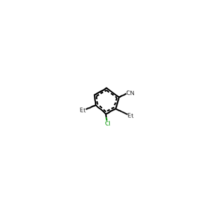 CCc1ccc(C#N)c(CC)c1Cl